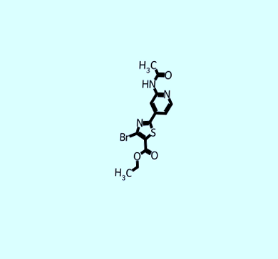 CCOC(=O)c1sc(-c2ccnc(NC(C)=O)c2)nc1Br